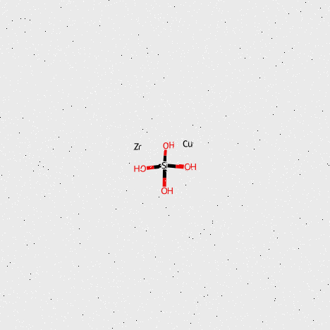 O[Si](O)(O)O.[Cu].[Zr]